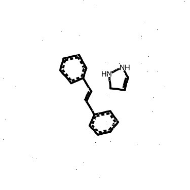 C(=Cc1ccccc1)c1ccccc1.C1=CNNC1